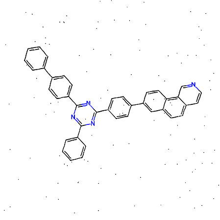 c1ccc(-c2ccc(-c3nc(-c4ccccc4)nc(-c4ccc(-c5ccc6c(ccc7ccncc76)c5)cc4)n3)cc2)cc1